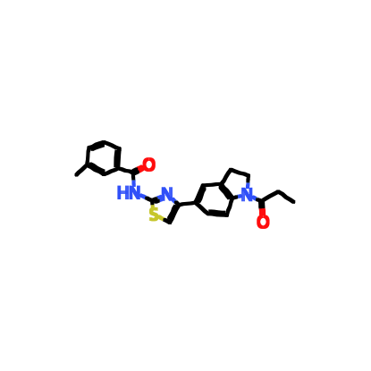 CCC(=O)N1CCc2cc(-c3csc(NC(=O)c4cccc(C)c4)n3)ccc21